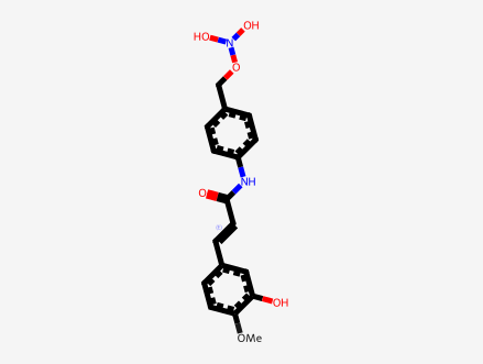 COc1ccc(/C=C/C(=O)Nc2ccc(CON(O)O)cc2)cc1O